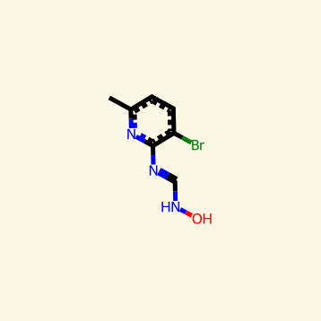 Cc1ccc(Br)c(/N=C/NO)n1